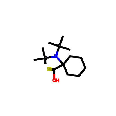 C[Si](C)(C)N(C1(C(O)=S)CCCCC1)[Si](C)(C)C